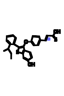 CCC(C)c1ccccc1-c1sc2cc(O)ccc2c1Oc1ccc(/C=C/C(O)=S)cc1